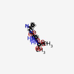 COC(=O)c1cc(NC(=O)Nc2cccc3c(C(=O)C(=O)N4CCC(=C(C#N)c5ccccc5)CC4)c[nH]c23)cc(C(=O)OC)c1